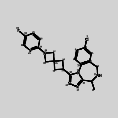 CC1NCc2cc(Cl)ccc2-n2c(C3CC4(C3)CN(c3ccc(F)cn3)C4)nnc21